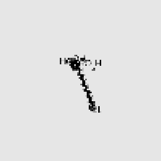 CCOCCCCCCCCCCCCCc1ccc(O)c(O)c1C(=O)O